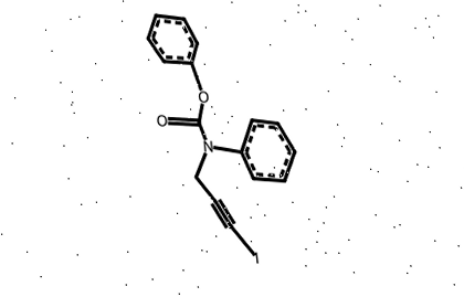 O=C(Oc1ccccc1)N(CC#CI)c1ccccc1